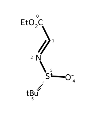 CCOC(=O)C=N[S@+]([O-])C(C)(C)C